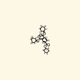 O=C(OC1CCCCC1)c1ccc(C(=O)OC2CCCCC2)c(C(=O)OC2CCCCC2)c1